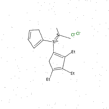 CCC1=C(CC)C(CC)=[C]([Ti+2]([C]2=CC=CC2)=[Si](C)C)C1.[Cl-].[Cl-]